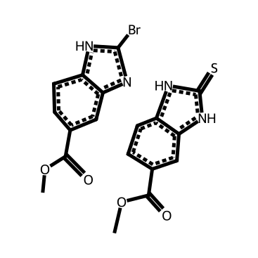 COC(=O)c1ccc2[nH]c(=S)[nH]c2c1.COC(=O)c1ccc2[nH]c(Br)nc2c1